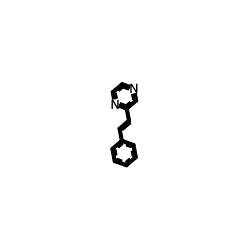 C(=Cc1cnccn1)c1ccccc1